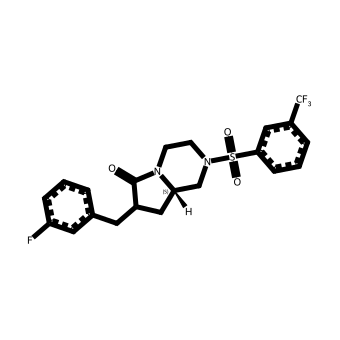 O=C1C(Cc2cccc(F)c2)C[C@H]2CN(S(=O)(=O)c3cccc(C(F)(F)F)c3)CCN12